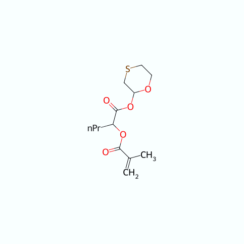 C=C(C)C(=O)OC(CCC)C(=O)OC1CSCCO1